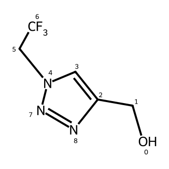 OCc1cn(CC(F)(F)F)nn1